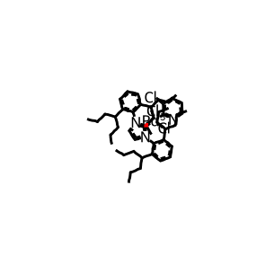 CCCC(CCC)c1cccc(C(CCC)CCC)c1-n1ccn(-c2c(C(CCC)CCC)cccc2C(CCC)CCC)[c]1=[Pd-3]([Cl])([Cl])[c]1ncccc1Cl